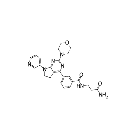 NC(=O)CCNC(=O)c1cccc(-c2nc(N3CCOCC3)nc3c2CCN3c2cccnc2)c1